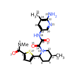 CNC(=O)c1ccc(C2CC[C@H](C)CN2C(=O)C(=O)Nc2cnc(N)c(C)c2)s1